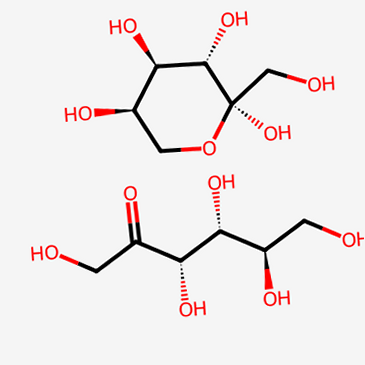 O=C(CO)[C@@H](O)[C@H](O)[C@H](O)CO.OC[C@@]1(O)OC[C@@H](O)[C@@H](O)[C@@H]1O